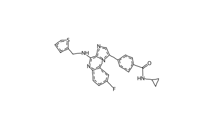 O=C(NC1CC1)c1ccc(-c2cnc3c(NCc4cccs4)nc4ccc(F)cc4n23)cc1